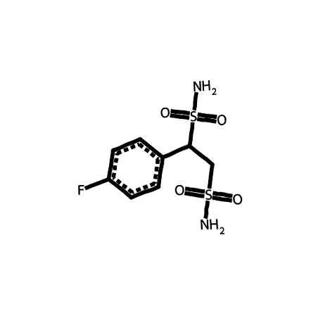 NS(=O)(=O)CC(c1ccc(F)cc1)S(N)(=O)=O